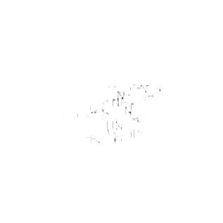 CC(C)C(NC(=O)OC(C)(C)C)C(=O)N[C@@H](Cc1cscn1)C(=O)N1CCC[C@@H](C(=O)OCC(Cl)(Cl)Cl)N1